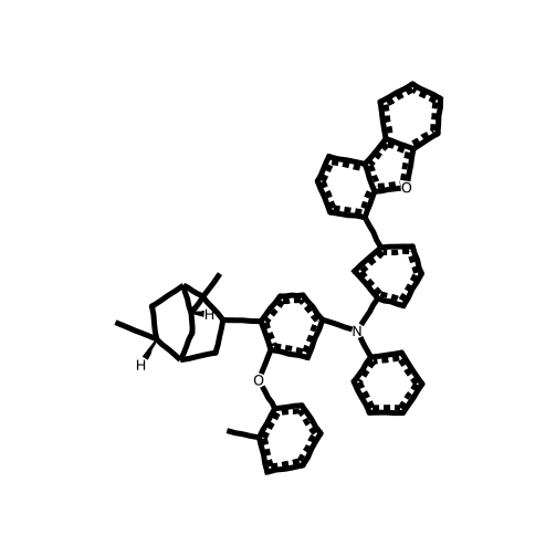 Cc1ccccc1Oc1cc(N(c2ccccc2)c2cccc(-c3cccc4c3oc3ccccc34)c2)ccc1C1CC2C[C@@H](C)C(C1)C[C@H]2C